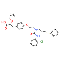 CCOC(Cc1ccc(OCCN(CCCSc2ccccc2)C(=O)Nc2ccccc2Cl)cc1)C(=O)O